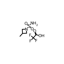 CC1CN(S(N)(=O)=O)C1.O=C(O)C(F)(F)F